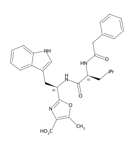 Cc1oc([C@@H](Cc2c[nH]c3ccccc23)NC(=O)[C@H](CC(C)C)NC(=O)Cc2ccccc2)nc1C(=O)O